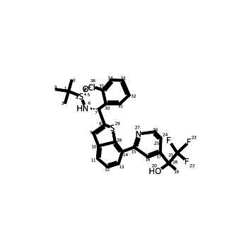 CC(C)(C)[S@+]([O-])N[C@@H](c1cc2cccc(-c3cc(C(C)(O)C(F)(F)F)ccn3)c2s1)c1ccccc1Cl